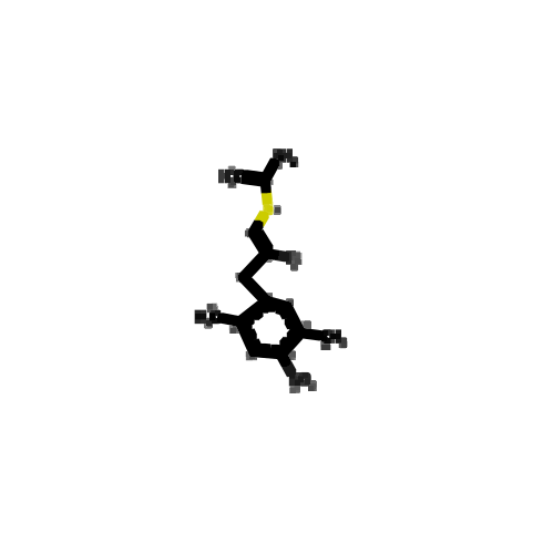 BC(=C)S/C=C(\CC)Cc1cc(C)c([N+](=O)[O-])cc1C